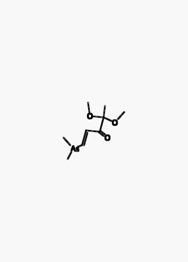 COC(C)(OC)C(=O)C=C[As](C)C